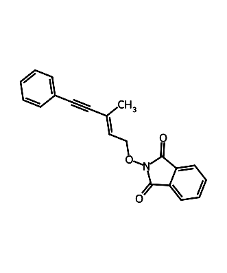 C/C(C#Cc1ccccc1)=C\CON1C(=O)c2ccccc2C1=O